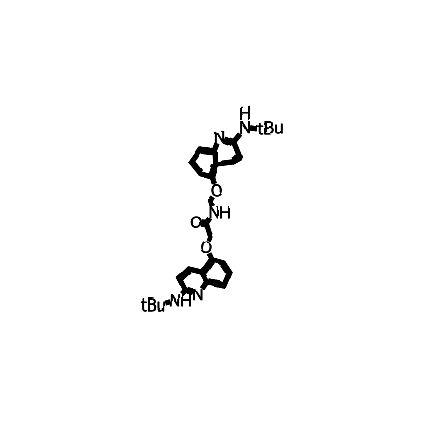 CC(C)(C)Nc1ccc2c(OCNC(=O)COc3cccc4nc(NC(C)(C)C)ccc34)cccc2n1